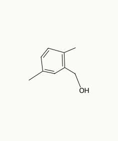 Cc1ccc(C)c(CO)c1